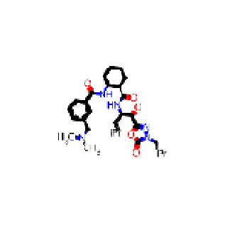 CC(C)CC(NC(=O)[C@@H]1CCCC[C@@H]1NC(=O)c1cccc(CN(C)C)c1)C(=O)c1nn(CC(C)C)c(=O)o1